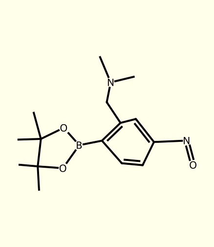 CN(C)Cc1cc(N=O)ccc1B1OC(C)(C)C(C)(C)O1